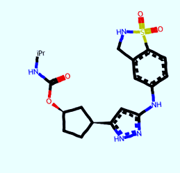 CC(C)NC(=O)O[C@@H]1CC[C@H](c2cc(Nc3ccc4c(c3)CNS4(=O)=O)n[nH]2)C1